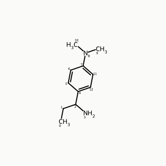 CCC(N)c1ccc(N(C)C)cc1